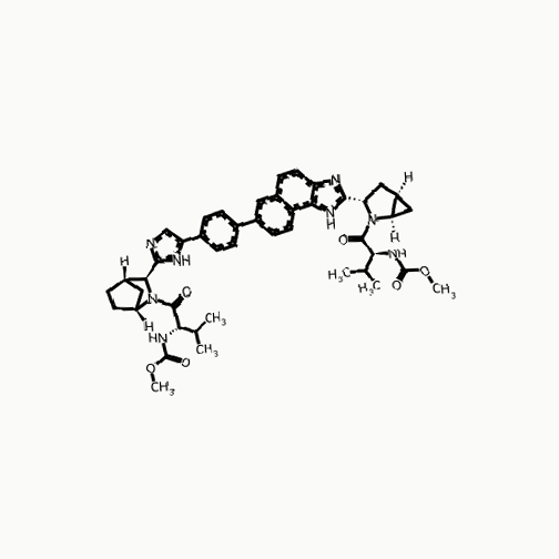 COC(=O)N[C@H](C(=O)N1[C@@H]2CC[C@@H](C2)[C@H]1c1ncc(-c2ccc(-c3ccc4c(ccc5nc([C@@H]6C[C@H]7C[C@H]7N6C(=O)[C@@H](NC(=O)OC)C(C)C)[nH]c54)c3)cc2)[nH]1)C(C)C